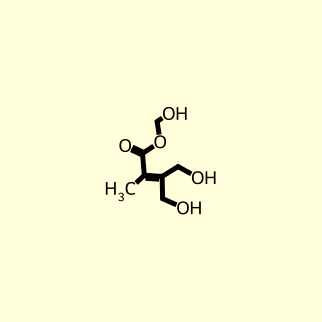 CC(C(=O)OCO)=C(CO)CO